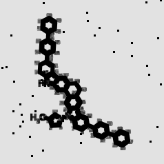 Cc1ccn(-n2c3ccc(-c4ccc(-c5ccccc5)cc4)cc3c3cc4c(cc32)-c2cc3[nH]c5c(c3cc2CC4)C=C(c2ccc(-c3ccccc3)cc2)CC5)c1